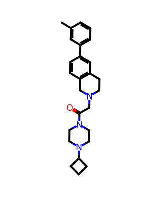 Cc1cccc(-c2ccc3c(c2)CCN(CC(=O)N2CCN(C4CCC4)CC2)C3)c1